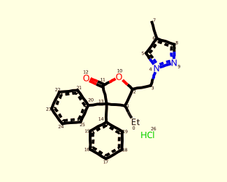 CCC1C(Cn2cc(C)cn2)OC(=O)C1(c1ccccc1)c1ccccc1.Cl